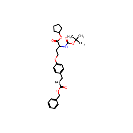 CC(C)(C)OC(=O)NC(CCOc1ccc(C[AsH]C(=O)OCc2ccccc2)cc1)C(=O)OC1CCCC1